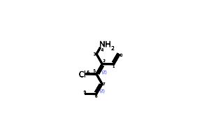 C=C/C(CN)=C(Cl)\C=C/C